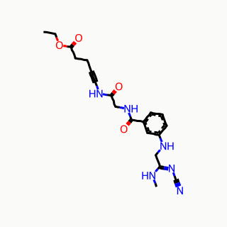 CCOC(=O)CCC#CNC(=O)CNC(=O)c1cccc(NCC(=NC#N)NC)c1